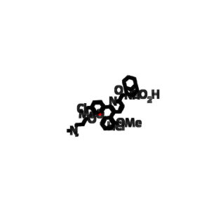 COc1cccc(OC)c1-c1ccc(C(=O)NC2(C(=O)O)C3CCCC2CCC3)nc1-c1ccc(Cl)c(OCCCN(C)C)c1.Cl